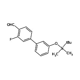 CC(C)(C)[Si](C)(C)Oc1cccc(-c2ccc(C=O)c(F)c2)c1